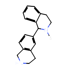 CC(=O)N1CCc2c[c]ccc2C1c1ccc2c(c1)CCNC2